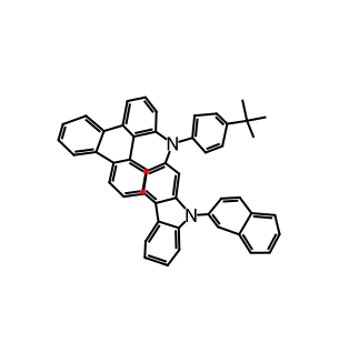 CC(C)(C)c1ccc(N(c2ccc3c4ccccc4n(-c4ccc5ccccc5c4)c3c2)c2cccc3c4ccccc4c4ccccc4c23)cc1